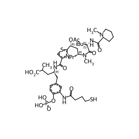 CC[C@H](C)[C@H](NC(=O)C1CCCCN1C)C(=O)N(C)[C@H](C[C@@H](OC(C)=O)c1nc(C(=O)N[C@@H](Cc2ccc(OP(=O)(O)O)c(NC(=O)CCCS)c2)CC(C)C(=O)O)cs1)C(C)C